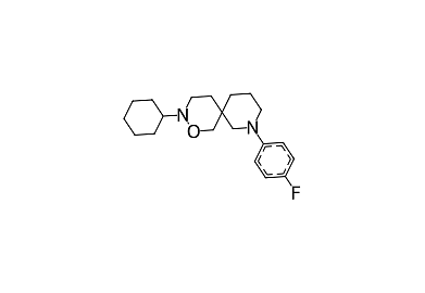 Fc1ccc(N2CCCC3(CCN(C4CCCCC4)OC3)C2)cc1